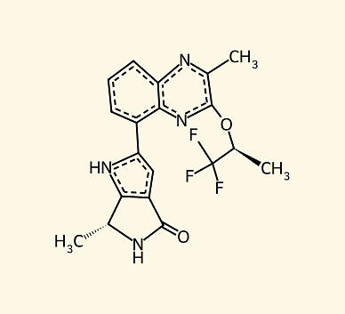 Cc1nc2cccc(-c3cc4c([nH]3)[C@@H](C)NC4=O)c2nc1O[C@@H](C)C(F)(F)F